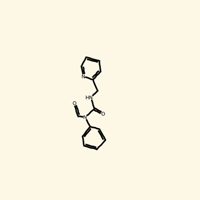 O=[C]N(C(=O)NCc1ccccn1)c1ccccc1